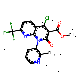 COC(=O)c1c(Cl)c2ccc(C(F)(F)F)nc2n(-c2cccnc2C)c1=O